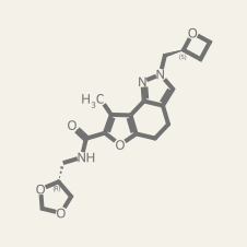 Cc1c(C(=O)NC[C@@H]2COCO2)oc2c1-c1nn(C[C@@H]3CCO3)cc1CC2